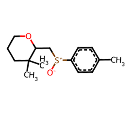 Cc1ccc([S+]([O-])CC2OCCCC2(C)C)cc1